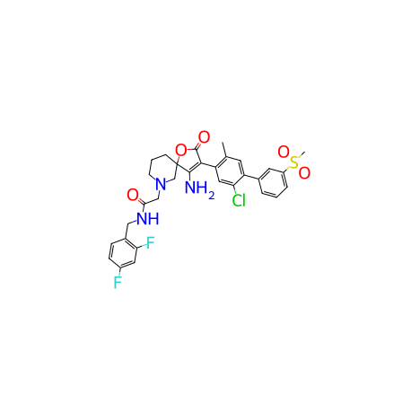 Cc1cc(-c2cccc(S(C)(=O)=O)c2)c(Cl)cc1C1=C(N)C2(CCCN(CC(=O)NCc3ccc(F)cc3F)C2)OC1=O